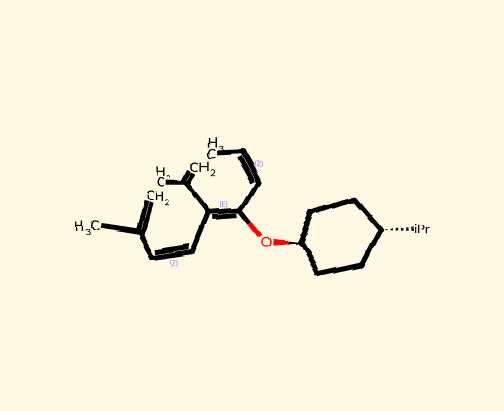 C=C(C)\C=C/C(C(=C)C)=C(/C=C\C)O[C@H]1CC[C@H](C(C)C)CC1